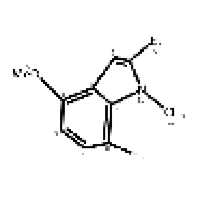 CCc1cc2c(OC)ccc(F)c2n1C